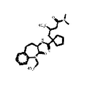 CN(C)C(=O)CC(CC1(C(=O)NC2CCc3ccccc3N(CC(=O)O)C2=O)CCCC1)C(=O)O